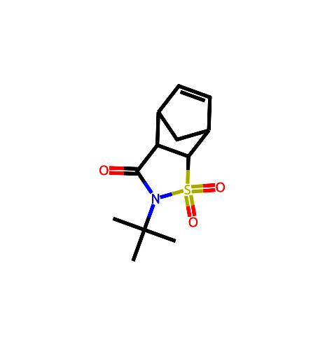 CC(C)(C)N1C(=O)C2C3C=CC(C3)C2S1(=O)=O